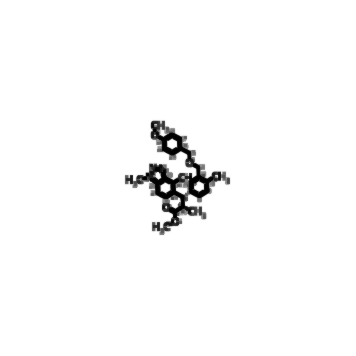 COC(=O)[C@H](C)[C@@H](c1ccc(C)c(COCc2ccc(OC)cc2)c1)c1ccc2c(nnn2C)c1C